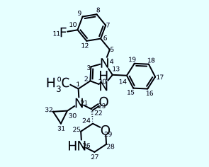 CC(C1=CN(Cc2cccc(F)c2)C(c2ccccc2)N1)N(C(=O)[C@H]1CNCCO1)C1CC1